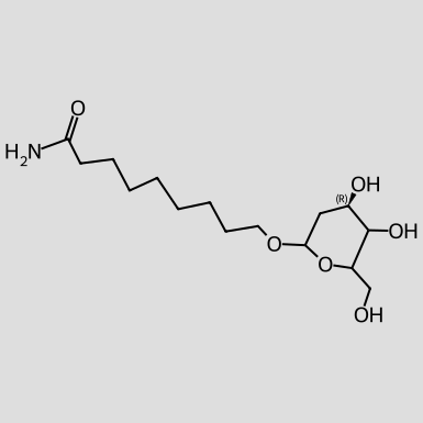 NC(=O)CCCCCCCCOC1C[C@@H](O)C(O)C(CO)O1